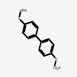 CCCCCCCCCCSc1ccc(-c2ccc(OC(=O)O)cc2)cc1